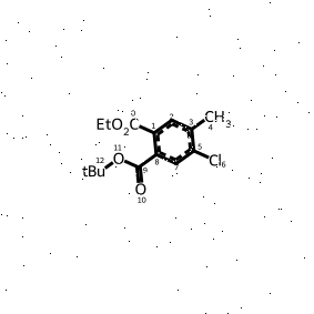 CCOC(=O)c1cc(C)c(Cl)cc1C(=O)OC(C)(C)C